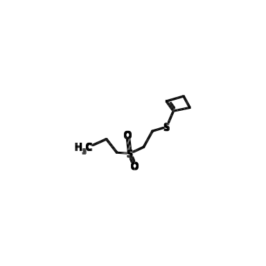 CCCS(=O)(=O)CCSC1=CCC1